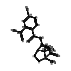 CC12CCC(C(OC(=O)c3ccc(Cl)cc3[N+](=O)[O-])=CC1=O)C2(C)C